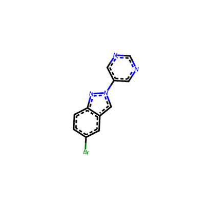 Brc1ccc2nn(-c3cncnc3)cc2c1